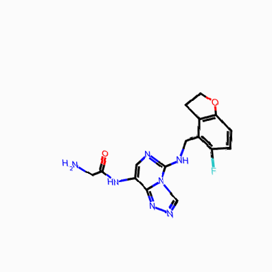 NCC(=O)Nc1cnc(NCc2c(F)ccc3c2CCO3)n2cnnc12